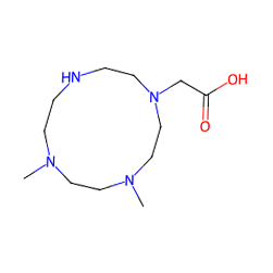 CN1CCNCCN(CC(=O)O)CCN(C)CC1